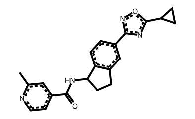 Cc1cc(C(=O)NC2CCc3cc(-c4noc(C5CC5)n4)ccc32)ccn1